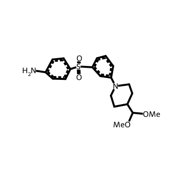 COC(OC)C1CCN(c2cccc(S(=O)(=O)c3ccc(N)cc3)c2)CC1